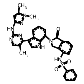 Cc1cnc(Nc2cc(C)n(C)n2)nc1-c1c[nH]c2c(N3Cc4c(NS(=O)(=O)c5ccccc5)cccc4C3=O)cccc12